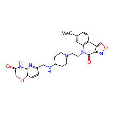 COc1ccc2c3conc3c(=O)n(CCN3CCC(NCc4ccc5c(n4)NC(=O)CO5)CC3)c2c1